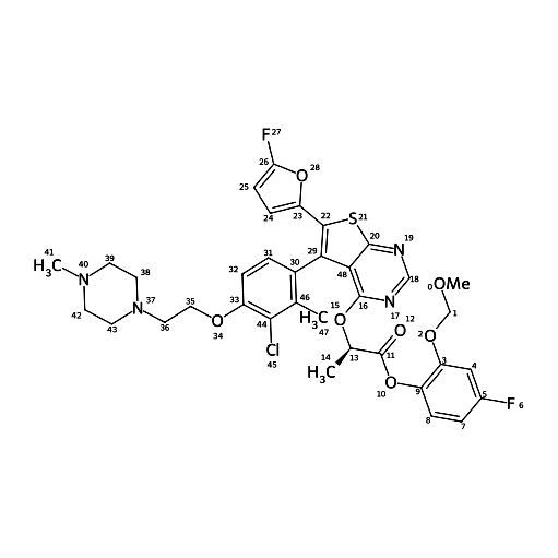 COCOc1cc(F)ccc1OC(=O)[C@@H](C)Oc1ncnc2sc(-c3ccc(F)o3)c(-c3ccc(OCCN4CCN(C)CC4)c(Cl)c3C)c12